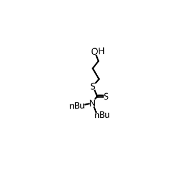 CCCCN(CCCC)C(=S)SCCCO